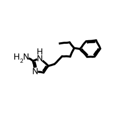 CCC(CCCc1cnc(N)[nH]1)c1ccccc1